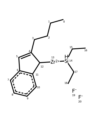 CCCCC1=Cc2ccccc2[CH]1[Zr+2][SiH](CC)CC.[F-].[F-]